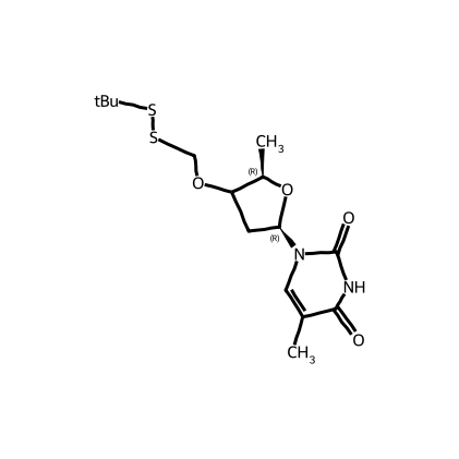 Cc1cn([C@H]2CC(OCSSC(C)(C)C)[C@@H](C)O2)c(=O)[nH]c1=O